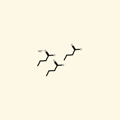 CCCC(=O)[O-].CCCC(=O)[O-].CCCC(=O)[O-].[Nd+3]